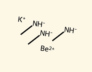 C[NH-].C[NH-].C[NH-].[Be+2].[K+]